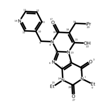 CCn1c(=O)c2c(nc3n(Cc4cccnc4)c(=O)c(CC(C)C)c(O)n23)n(CC)c1=O